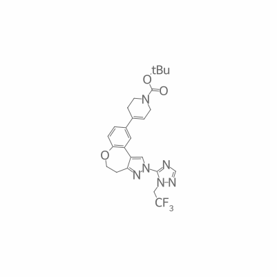 CC(C)(C)OC(=O)N1CC=C(c2ccc3c(c2)-c2cn(-c4ncnn4CC(F)(F)F)nc2CCO3)CC1